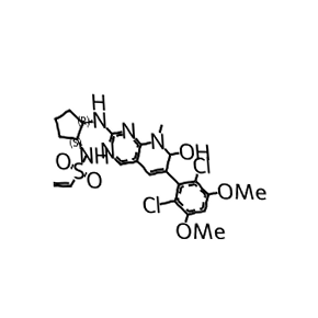 C=CS(=O)(=O)N[C@H]1CCC[C@H]1Nc1ncc2c(n1)N(C)C(O)C(c1c(Cl)c(OC)cc(OC)c1Cl)=C2